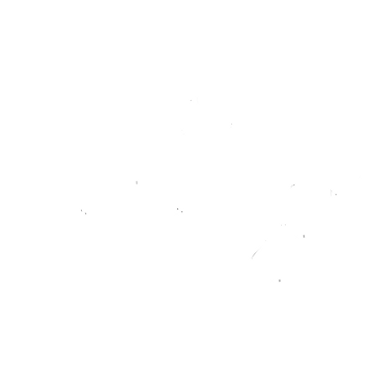 CCN(CC)CC(O)CN1C(C)=C(C(C(=O)O)C(=O)O)C(c2cccc([N+](=O)[O-])c2)C(C(C(=O)O)C(=O)O)=C1C